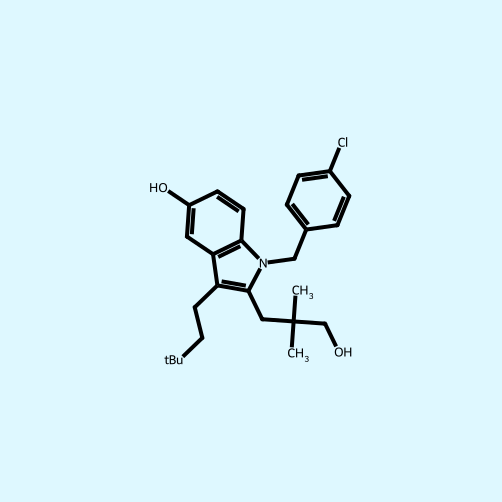 CC(C)(C)CCc1c(CC(C)(C)CO)n(Cc2ccc(Cl)cc2)c2ccc(O)cc12